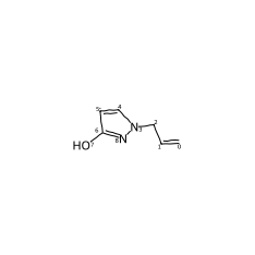 C=CCn1c[c]c(O)n1